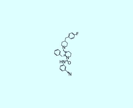 N#Cc1cccc(NC(=O)N2CCC[C@H](CN3CCC(Cc4ccc(F)cc4)CC3)[C@H]2Cc2ccccc2)c1